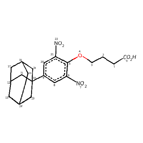 O=C(O)CCCOc1c([N+](=O)[O-])cc(C23CC4CC(CC(C4)C2)C3)cc1[N+](=O)[O-]